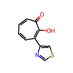 O=c1ccccc(-c2cscn2)c1O